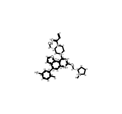 C=CC(=O)N1CCN(c2nc(OC[C@@H]3CCCN3C)nc3cc(-c4cc(F)ccc4C)c4ccoc4c23)C[C@@H]1CC#N